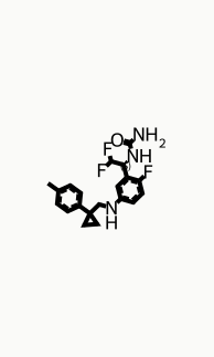 Cc1ccc(C2(CNc3ccc(F)c([C@H](NC(N)=O)C(F)F)c3)CC2)cc1